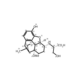 CO[C@@]12CC[C@@H](N[C@@H](CO)C(=O)O)[C@@H]3Oc4c(O)ccc5c4[C@@]31CCN(C)C2C5